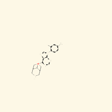 [C-]#[N+]c1ccc(-n2cnc3c(OC4C5CNCC4COC5)ncnc32)c(F)c1